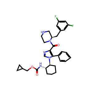 O=C(N[C@H]1CCCC[C@@H]1n1cnc(C(=O)N2CCNC[C@H]2Cc2cc(F)cc(F)c2)c1-c1ccccc1)OCC1CC1